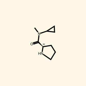 CN(C(=O)[C@H]1CCCN1)C1CC1